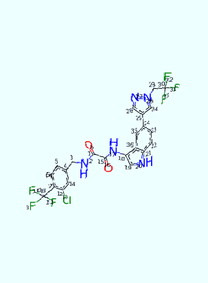 O=C(NCc1ccc(C(F)(F)F)c(Cl)c1)C(=O)Nc1c[nH]c2ccc(-c3cnn(CC(F)(F)F)c3)cc12